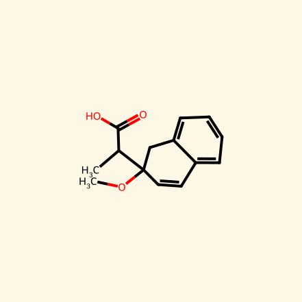 COC1(C(C)C(=O)O)C=Cc2ccccc2C1